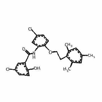 Cc1cc(C)c(CCOc2ccc(Cl)cc2NC(=O)c2cc(Cl)ccc2O)c(C)c1